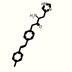 Cc1ccc(C=Cc2ccc(CC(=O)[C@@H](N)Cc3c[nH]cn3)cc2)cc1